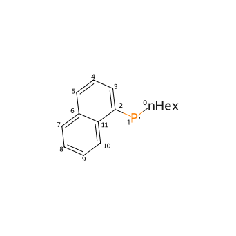 CCCCCC[P]c1cccc2ccccc12